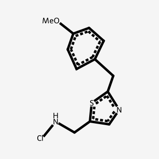 COc1ccc(Cc2ncc(CNCl)s2)cc1